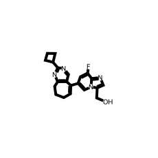 OCc1cnc2c(F)cc(C3=CCCCc4nc(C5CCC5)ncc43)cn12